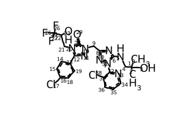 CC(C)(O)CNc1nc(Cn2nc(-c3ccc(Cl)cc3)n(CC(O)C(F)(F)F)c2=O)nn1-c1ncccc1Cl